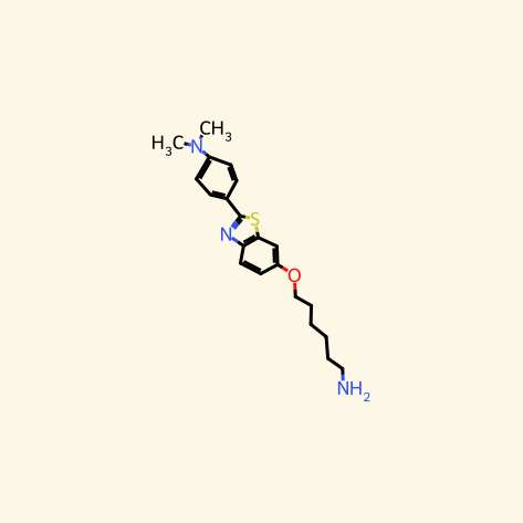 CN(C)c1ccc(-c2nc3ccc(OCCCCCCN)cc3s2)cc1